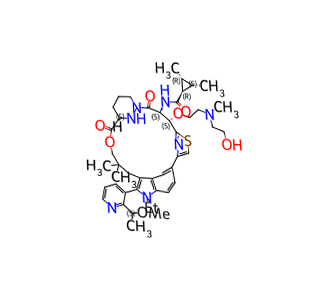 CCn1c(-c2cccnc2[C@H](C)OC)c2c3cc(ccc31)-c1csc(n1)[C@@H](OCCN(C)CCO)[C@H](NC(=O)[C@H]1[C@H](C)[C@@H]1C)C(=O)N1CCC[C@H](N1)C(=O)OCC(C)(C)C2